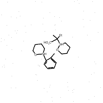 CCC(C)(C(=O)O)[SiH]1CCCCO1.Cc1ccccc1[SiH]1CCCCO1